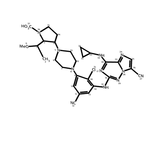 COC(C)C1C(N2CCN(c3cc(C#N)cc(Nc4nc(NC5CC5)c5ncc(C#N)n5n4)c3Cl)CC2)CCN1C(=O)O